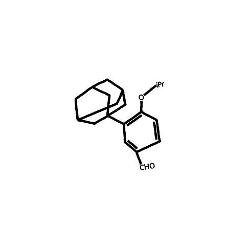 CC(C)Oc1ccc(C=O)cc1C12CC3CC(CC(C3)C1)C2